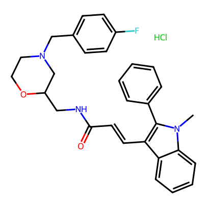 Cl.Cn1c(-c2ccccc2)c(C=CC(=O)NCC2CN(Cc3ccc(F)cc3)CCO2)c2ccccc21